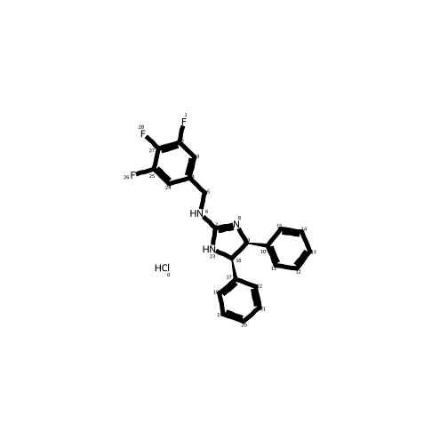 Cl.Fc1cc(CNC2=N[C@@H](c3ccccc3)[C@@H](c3ccccc3)N2)cc(F)c1F